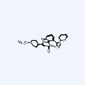 O=C(O)N1CCC(c2cc(=O)[nH]c3c4c(-c5cncn5C5CCCCO5)cccc4nn23)CC1